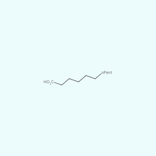 CCCCCCCCCC[13C](=O)O